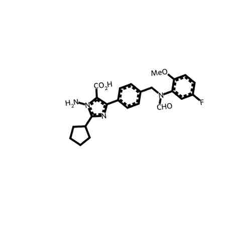 COc1ccc(F)cc1N(C=O)Cc1ccc(-c2nc(C3CCCC3)n(N)c2C(=O)O)cc1